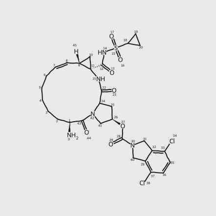 N[C@H]1CCCCC/C=C\[C@@H]2C[C@@]2(C(=O)NS(=O)(=O)C2CC2)NC(=O)C2C[C@@H](OC(=O)N3Cc4c(Cl)ccc(Cl)c4C3)CN2C1=O